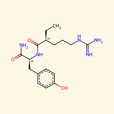 CC[C@@H](CCCNC(=N)N)C(=O)N[C@@H](Cc1ccc(O)cc1)C(N)=O